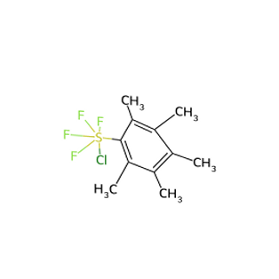 Cc1c(C)c(C)c(S(F)(F)(F)(F)Cl)c(C)c1C